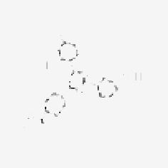 COC(=O)c1ccc(-c2nc(-c3cccc(OC)c3)nc(-c3ccc(C)cc3O)n2)cc1